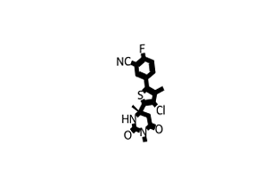 Cc1c(-c2ccc(F)c(C#N)c2)sc([C@]2(C)CC(=O)N(C)C(=O)N2)c1Cl